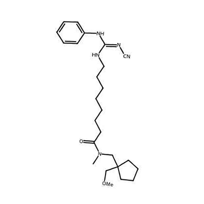 COCC1(CN(C)C(=O)CCCCCCCN/C(=N\C#N)Nc2ccccc2)CCCC1